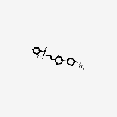 O=C(NCCc1ccc(-c2ccc(OC(F)(F)F)cc2)cc1)c1ccccc1C(F)(F)F